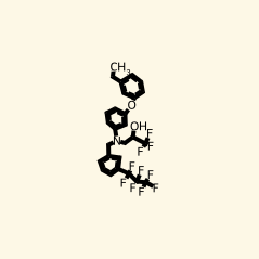 CCc1cccc(Oc2cccc(N(Cc3cccc(C(F)(F)C(F)(F)C(F)(F)F)c3)CC(O)C(F)(F)F)c2)c1